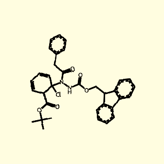 CC(C)(C)OC(=O)C1C=CC=CC1(Cl)N(NC(=O)OCC1c2ccccc2-c2ccccc21)C(=O)Cc1ccccc1